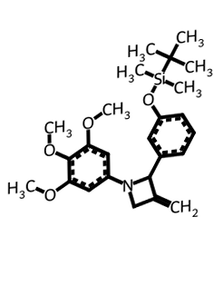 C=C1CN(c2cc(OC)c(OC)c(OC)c2)C1c1cccc(O[Si](C)(C)C(C)(C)C)c1